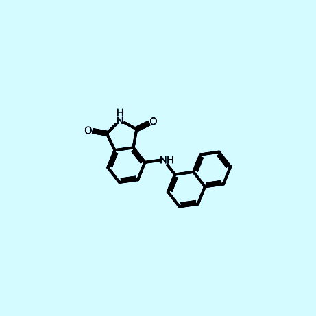 O=C1NC(=O)c2c(Nc3cccc4ccccc34)cccc21